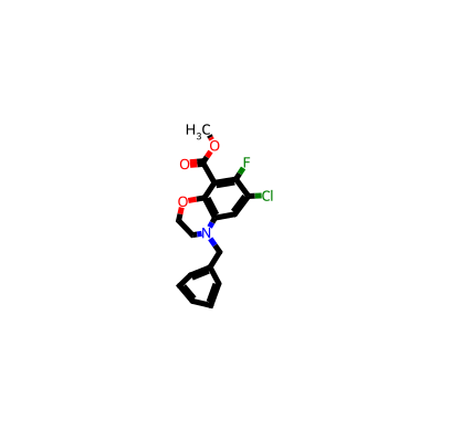 COC(=O)c1c(F)c(Cl)cc2c1OCCN2Cc1ccccc1